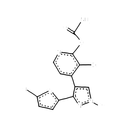 CCc1c(-c2cn(C(C)C)nc2-c2ccc(Cl)s2)ccnc1OC(N)=O